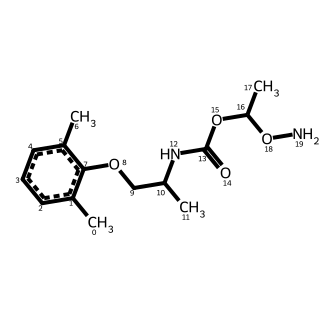 Cc1cccc(C)c1OCC(C)NC(=O)OC(C)ON